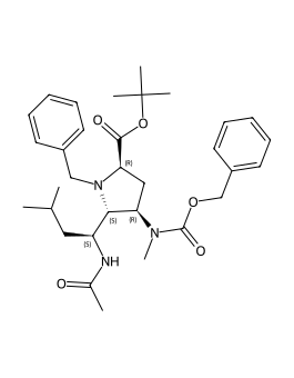 CC(=O)N[C@@H](CC(C)C)[C@H]1[C@H](N(C)C(=O)OCc2ccccc2)C[C@H](C(=O)OC(C)(C)C)N1Cc1ccccc1